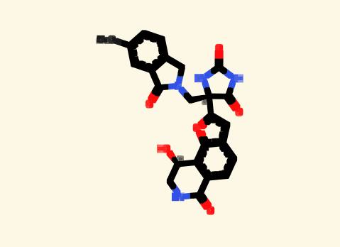 COc1ccc2c(c1)C(=O)N(C[C@@]1(c3cc4ccc5c(c4o3)[C@H](O)CNC5=O)NC(=O)NC1=O)C2